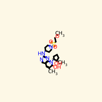 COCCS(=O)(=O)N1CCC(Nc2ncc3c(n2)N([C@H]2CCC[C@]2(C)O)C(O)C(C)=C3)CC1